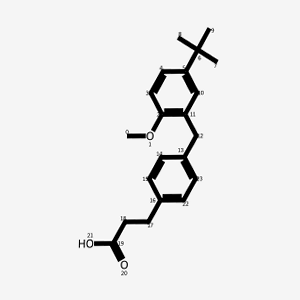 COc1ccc(C(C)(C)C)cc1Cc1ccc(CCC(=O)O)cc1